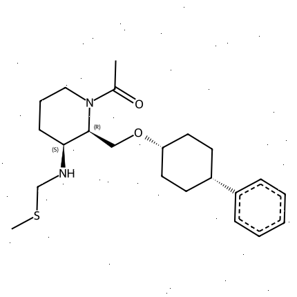 CSCN[C@H]1CCCN(C(C)=O)[C@H]1CO[C@H]1CC[C@@H](c2ccccc2)CC1